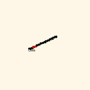 COC(C)(C)CCC/C(C)=C/CC/C(C)=C/CC/C(C)=C/C=C/C=C(\C)CC/C=C(\C)CC/C=C(\C)CCC=C(C)C